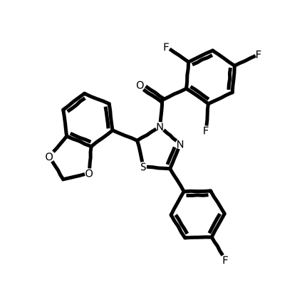 O=C(c1c(F)cc(F)cc1F)N1N=C(c2ccc(F)cc2)SC1c1cccc2c1OCO2